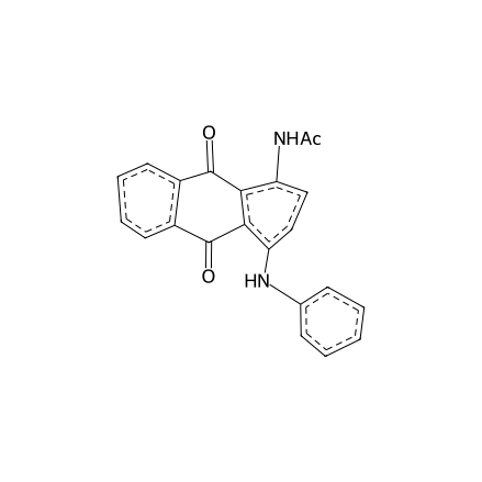 CC(=O)Nc1ccc(Nc2ccccc2)c2c1C(=O)c1ccccc1C2=O